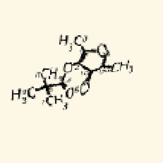 CC1=C(OC(=O)C(C)(C)C)C(=O)C(C)O1